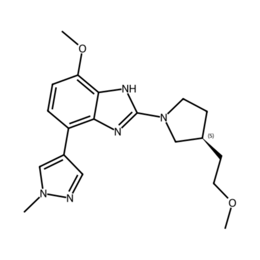 COCC[C@@H]1CCN(c2nc3c(-c4cnn(C)c4)ccc(OC)c3[nH]2)C1